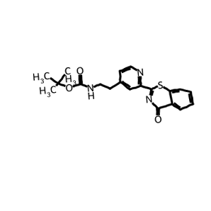 CC(C)(C)OC(=O)NCCc1ccnc(-c2nc(=O)c3ccccc3s2)c1